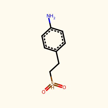 Nc1ccc(CC[SH](=O)=O)cc1